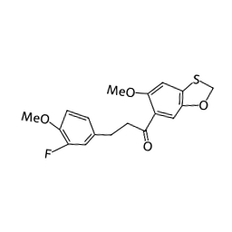 COc1ccc(CCC(=O)c2cc3c(cc2OC)SCO3)cc1F